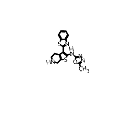 Cc1nnc(Nc2sc3c(c2-c2nc4ccccc4s2)CCNC3)o1